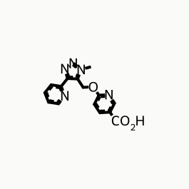 Cn1nnc(-c2ccccn2)c1COc1ccc(C(=O)O)cn1